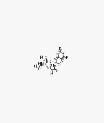 CNC(=O)N(C)Cc1c[nH]c(=S)n1[C@H]1CCc2c(F)cc(F)cc2C1